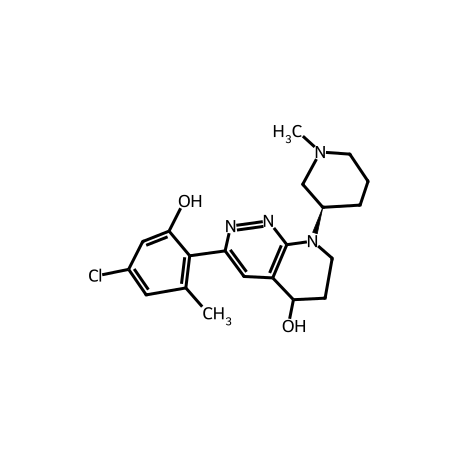 Cc1cc(Cl)cc(O)c1-c1cc2c(nn1)N([C@@H]1CCCN(C)C1)CCC2O